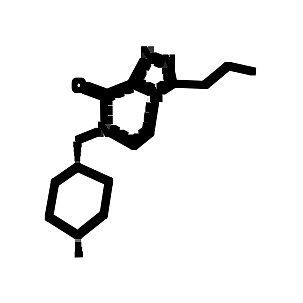 CCCc1nnc2c(=O)n(C[C@H]3CC[C@@H](C)CC3)ccn12